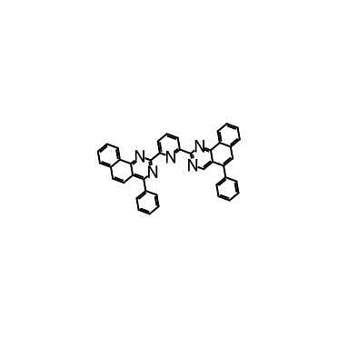 c1ccc(-c2cc3ccccc3c3nc(-c4cccc(-c5nc(-c6ccccc6)c6ccc7ccccc7c6n5)n4)ncc23)cc1